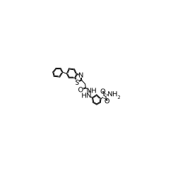 NS(=O)(=O)c1cccc(NNC(=O)Cc2nc3ccc(-c4ccccc4)cc3s2)c1